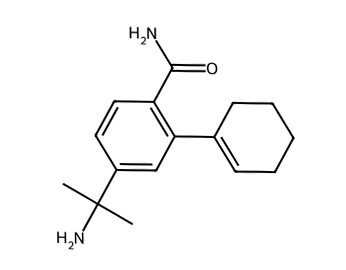 CC(C)(N)c1ccc(C(N)=O)c(C2=CCCCC2)c1